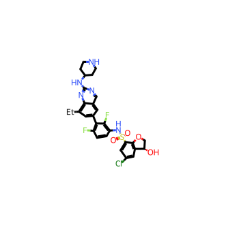 CCc1cc(-c2c(F)ccc(NS(=O)(=O)c3cc(Cl)cc4c3OC[C@H]4O)c2F)cc2cnc(NC3CCNCC3)nc12